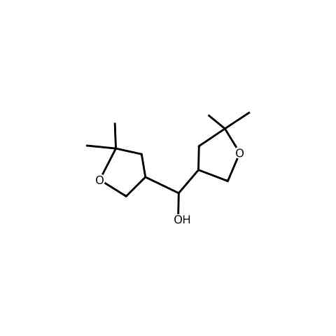 CC1(C)CC(C(O)C2COC(C)(C)C2)CO1